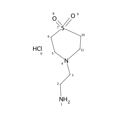 Cl.NCCN1CCS(=O)(=O)CC1